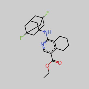 CCOC(=O)c1cnc(NC23CC4CC(F)(CC(F)(C4)C2)C3)c2c1CCCC2